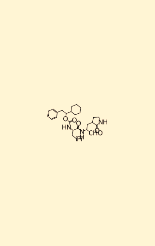 CC(C)CC(NC(=O)OC(Cc1ccccc1)C1CCCCC1)C(=O)NC(C=O)CC1CCNC1=O